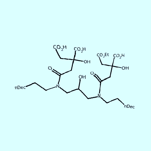 CCCCCCCCCCCCN(CC(O)CN(CCCCCCCCCCCC)C(=O)CC(O)(CC(=O)OCC)C(=O)O)C(=O)CC(O)(CC(=O)O)C(=O)O